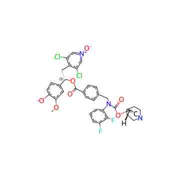 COc1ccc([C@H](Cc2c(Cl)c[n+]([O-])cc2Cl)OC(=O)c2ccc(CN(C(=O)O[C@H]3CN4CCC3CC4)c3cccc(F)c3F)cc2)cc1OC